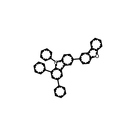 c1ccc(-c2cc(-c3ccccc3)c3c(c2)c2cc(-c4ccc5oc6ccccc6c5c4)ccc2n3-c2ccccc2)cc1